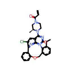 C=CC(=O)N1CCN(c2nc(=O)n3c4nc(c(Cl)cc24)-c2ccccc2OCc2cccc(CC)c2-3)[C@@H](C)C1